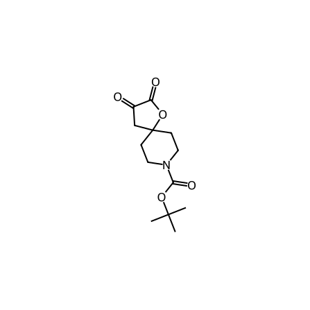 CC(C)(C)OC(=O)N1CCC2(CC1)CC(=O)C(=O)O2